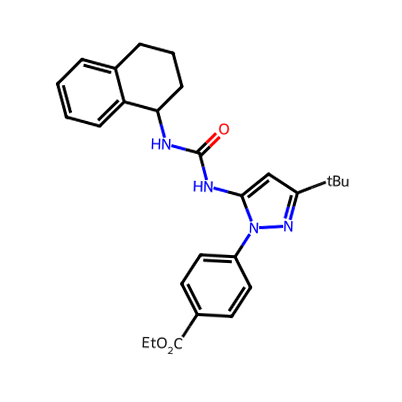 CCOC(=O)c1ccc(-n2nc(C(C)(C)C)cc2NC(=O)NC2CCCc3ccccc32)cc1